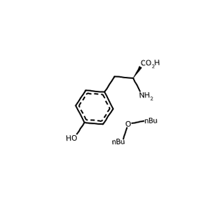 CCCCOCCCC.N[C@@H](Cc1ccc(O)cc1)C(=O)O